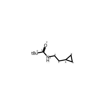 CC(C)(C)C(=O)NCCC1CC1